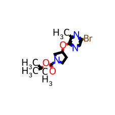 Cc1nc(Br)cnc1OC1CCN(C(=O)OC(C)(C)C)C1